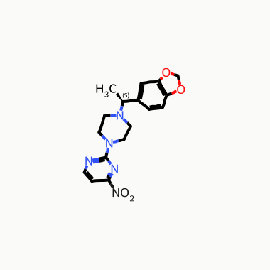 C[C@@H](c1ccc2c(c1)OCO2)N1CCN(c2nccc([N+](=O)[O-])n2)CC1